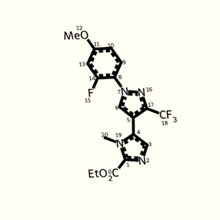 CCOC(=O)c1ncc(-c2cn(-c3ccc(OC)cc3F)nc2C(F)(F)F)n1C